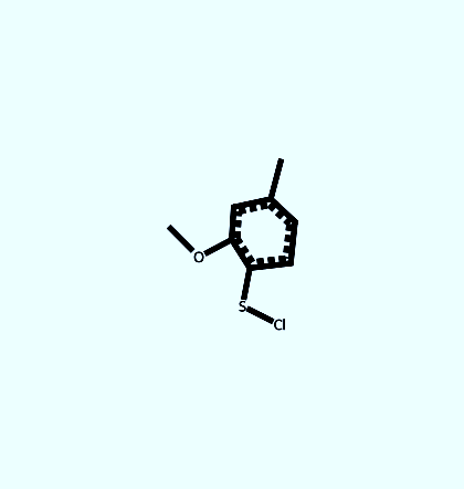 COc1cc(C)ccc1SCl